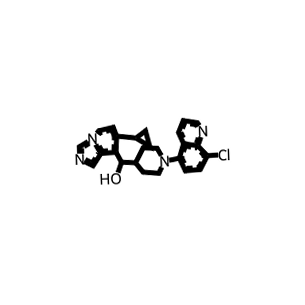 OC(c1c(C2CC2)ccn2cncc12)C1CCN(c2ccc(Cl)c3ncccc23)CC1